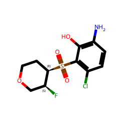 Nc1ccc(Cl)c(S(=O)(=O)[C@@H]2CCOC[C@@H]2F)c1O